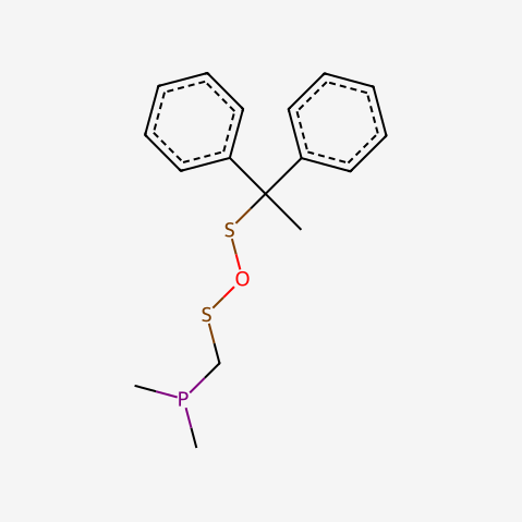 CP(C)CSOSC(C)(c1ccccc1)c1ccccc1